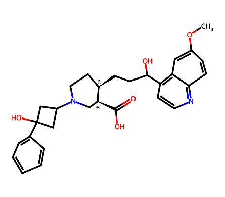 COc1ccc2nccc(C(O)CC[C@@H]3CCN(C4CC(O)(c5ccccc5)C4)C[C@@H]3C(=O)O)c2c1